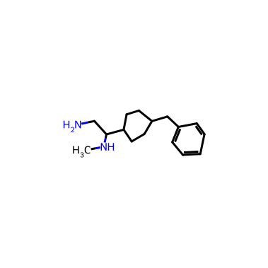 CNC(CN)C1CCC(Cc2ccccc2)CC1